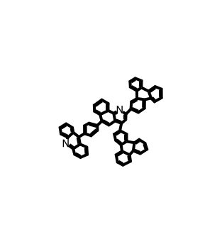 c1ccc2c(-c3ccc(-c4cc5c(-c6ccc7c8ccccc8c8ccccc8c7c6)cc(-c6ccc7c8ccccc8c8ccccc8c7c6)nc5c5ccccc45)cc3)c3ccccc3nc2c1